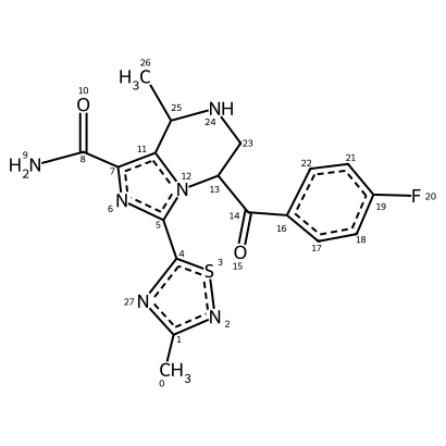 Cc1nsc(-c2nc(C(N)=O)c3n2C(C(=O)c2ccc(F)cc2)CNC3C)n1